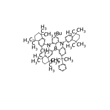 Cc1cc2c(cc1N1c3cc4c(cc3B3c5cc(C(C)(C)c6ccccc6)ccc5N(c5ccc6c(c5)C(C)(C)CCC6(C)C)c5cc(C(C)(C)C)cc1c53)C(C)(C)CCC4(C)C)C(C)(C)CCC2(C)C